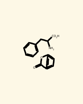 NC(Cc1ccccc1)C(=O)O.O=c1oc2ccc1cc2